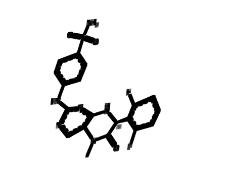 CN1C(=O)[C@H](c2c(F)cccc2F)Nc2nc(Nc3ccc(S(N)(=O)=O)cc3)ncc21